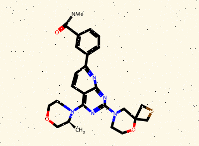 CNC(=O)c1cccc(-c2ccc3c(N4CCOC[C@@H]4C)nc(N4CCOC5(CSC5)C4)nc3n2)c1